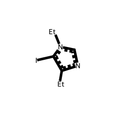 CCc1ncn(CC)c1I